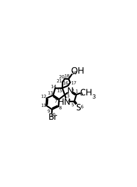 CC1=NC2(NC1=S)c1cc(Br)ccc1CC21CCC(O)CC1